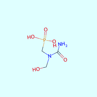 NC(=O)N(CO)CP(=O)(O)O